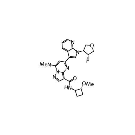 CNc1cc(-c2cn([C@H]3COC[C@H]3F)c3ncccc23)nc2c(C(=O)N[C@@H]3CC[C@H]3OC)cnn12